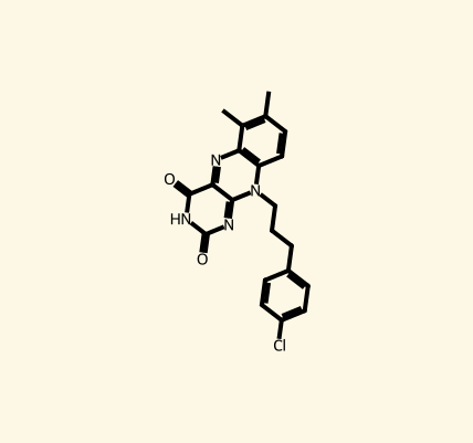 Cc1ccc2c(nc3c(=O)[nH]c(=O)nc-3n2CCCc2ccc(Cl)cc2)c1C